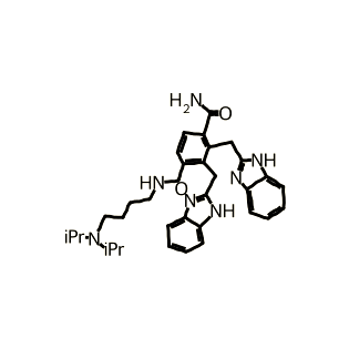 CC(C)N(CCCCNC(=O)c1ccc(C(N)=O)c(Cc2nc3ccccc3[nH]2)c1Cc1nc2ccccc2[nH]1)C(C)C